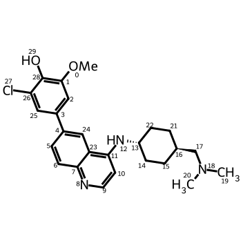 COc1cc(-c2ccc3nccc(N[C@H]4CC[C@H](CN(C)C)CC4)c3c2)cc(Cl)c1O